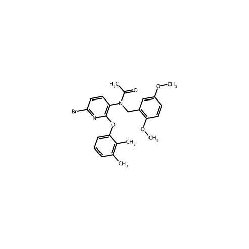 COc1ccc(OC)c(CN(C(C)=O)c2ccc(Br)nc2Oc2cccc(C)c2C)c1